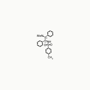 CN[C@@H](c1ccccc1)[C@@H](NS(=O)(=O)c1ccc(C)cc1)c1ccccc1